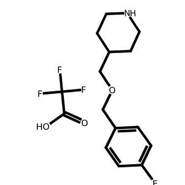 Fc1ccc(COCC2CCNCC2)cc1.O=C(O)C(F)(F)F